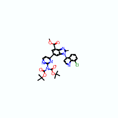 COC(=O)c1cc(-c2ccnc(N(C(=O)OC(C)(C)C)C(=O)OC(C)(C)C)n2)cc2c1nc(C)n2-c1ccnc2c(Cl)cccc12